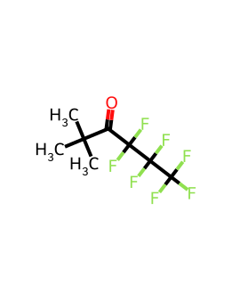 CC(C)(C)C(=O)C(F)(F)C(F)(F)C(F)(F)F